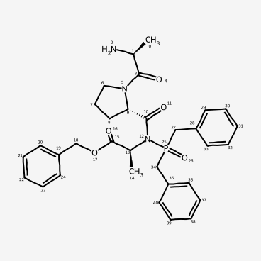 C[C@H](N)C(=O)N1CCC[C@H]1C(=O)N([C@@H](C)C(=O)OCc1ccccc1)P(=O)(Cc1ccccc1)Cc1ccccc1